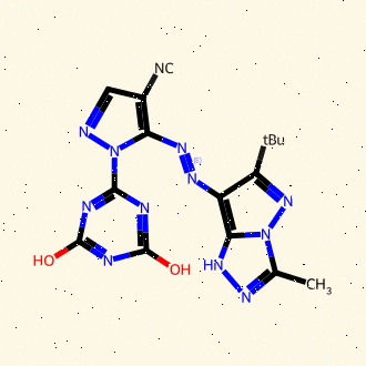 [C-]#[N+]c1cnn(-c2nc(O)nc(O)n2)c1/N=N/c1c(C(C)(C)C)nn2c(C)n[nH]c12